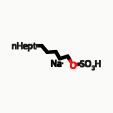 CCCCCCCCCCCCOS(=O)(=O)O.[Na]